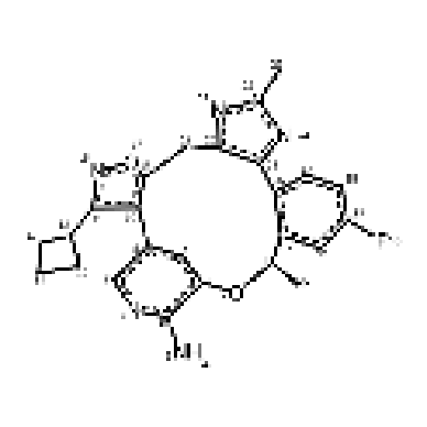 C[C@H]1Oc2cc(cnc2N)-c2c(C3CCC3)noc2Cc2nn(C)nc2-c2ccc(F)cc21